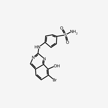 NS(=O)(=O)c1ccc(Nc2ncc3ccc(Br)c(O)c3n2)cc1